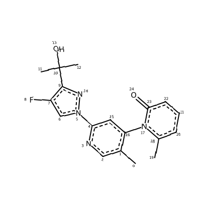 Cc1cnc(-n2cc(F)c(C(C)(C)O)n2)cc1-n1c(C)cccc1=O